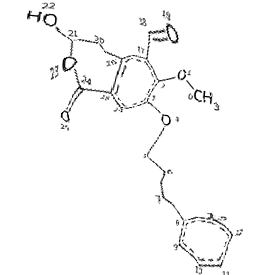 COc1c(OCCCc2ccccc2)cc2c(c1C=O)CC(O)OC2=O